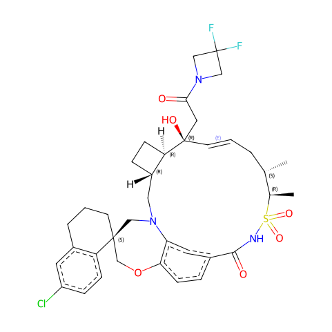 C[C@@H]1[C@@H](C)C/C=C/[C@@](O)(CC(=O)N2CC(F)(F)C2)[C@@H]2CC[C@H]2CN2C[C@@]3(CCCc4cc(Cl)ccc43)COc3ccc(cc32)C(=O)NS1(=O)=O